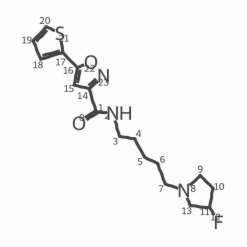 O=C(NCCCCCN1CCC(F)C1)c1cc(-c2cccs2)on1